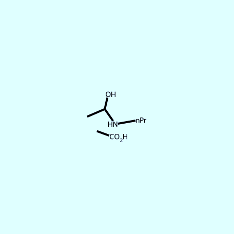 CC(=O)O.CCCNC(C)O